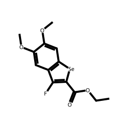 CCOC(=O)c1[se]c2cc(OC)c(OC)cc2c1F